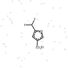 CCOC(=O)c1coc(C(F)F)c1